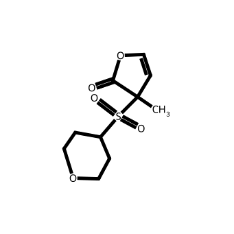 CC1(S(=O)(=O)C2CCOCC2)C=COC1=O